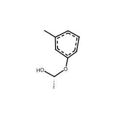 Cc1cccc(O[C@H](C)O)c1